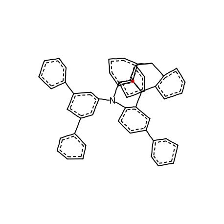 c1ccc(-c2cc(-c3ccccc3)cc(N3c4ccc(-c5ccccc5)cc4C45c6ccccc6C(c6ccccc64)c4cccc3c45)c2)cc1